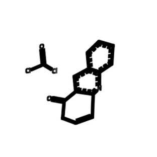 O=C(Cl)Cl.O=C1CC=Cc2nc3ccccc3cc21